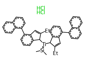 CCC1=Cc2c(-c3cccc4ccccc34)cccc2[CH]1[Ti]([CH]1C(CC)=Cc2c(-c3cccc4ccccc34)cccc21)=[Si](C)C.Cl.Cl